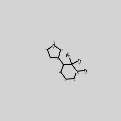 CCN1CCCC(C2CCNC2)C1(CC)CC